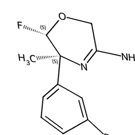 C[C@@]1(c2cccc(Br)c2)N=C(N)CO[C@H]1F